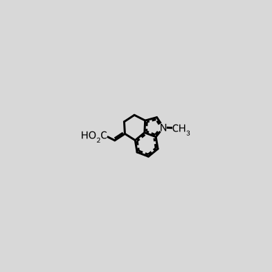 Cn1cc2c3c(cccc31)/C(=C/C(=O)O)CC2